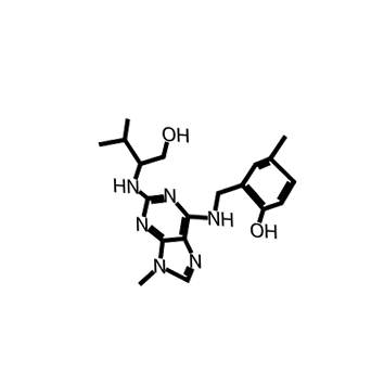 Cc1ccc(O)c(CNc2nc(NC(CO)C(C)C)nc3c2ncn3C)c1